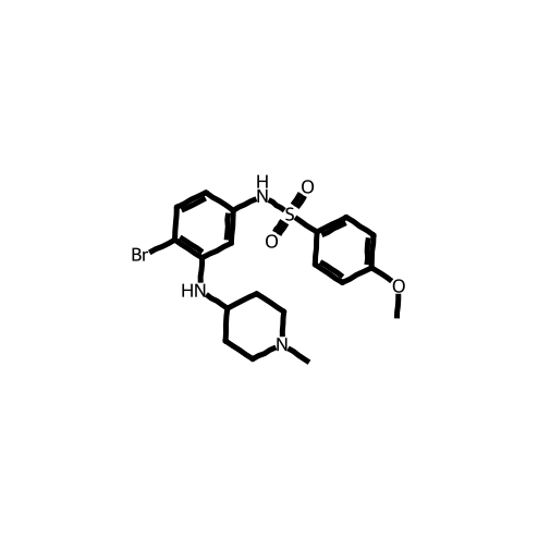 COc1ccc(S(=O)(=O)Nc2ccc(Br)c(NC3CCN(C)CC3)c2)cc1